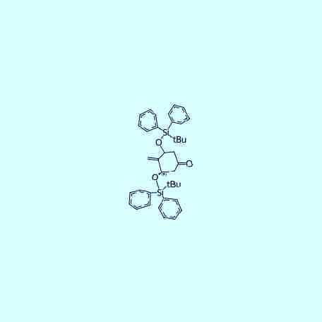 C=C1C(O[Si](c2ccccc2)(c2ccccc2)C(C)(C)C)CC(=O)C[C@H]1O[Si](c1ccccc1)(c1ccccc1)C(C)(C)C